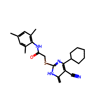 C=C1NC(SCC(=O)Nc2c(C)cc(C)cc2C)=NC(C2CCCCC2)=C1C#N